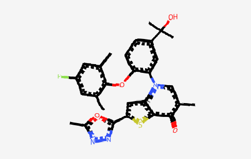 Cc1nnc(-c2cc3c(s2)c(=O)c(C)cn3-c2cc(C(C)(C)O)ccc2Oc2c(C)cc(F)cc2C)o1